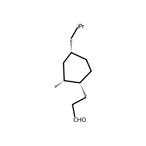 CC(C)C[C@@H]1CC[C@H](CCC=O)[C@H](C)C1